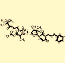 CC(C)OC(=O)[C@H](C)NP(=O)(OCCSC(=O)C(C)(C)C)OC[C@H]1O[C@@H](n2ccc(=O)n(COCc3ccccc3)c2=O)[C@](C)(Cl)[C@@H]1O